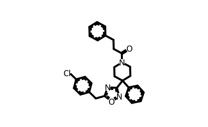 O=C(CCc1ccccc1)N1CCC(c2ccccc2)(c2noc(Cc3ccc(Cl)cc3)n2)CC1